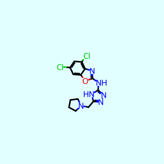 Clc1cc(Cl)c2nc(Nc3nnc(CN4CCCC4)[nH]3)oc2c1